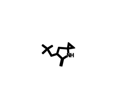 C=C1NC2(CC2)CC1CC(C)(C)C